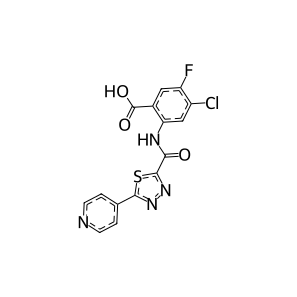 O=C(Nc1cc(Cl)c(F)cc1C(=O)O)c1nnc(-c2ccncc2)s1